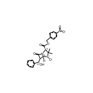 CC1(C)[C@H](C(=O)OCc2ccc([N+](=O)[O-])cc2)N2C(=O)C([C@H](O)c3ccccc3)[C@H]2[S+]1[O-]